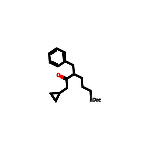 CCCCCCCCCCCCCC(Cc1ccccc1)C(=O)CC1CC1